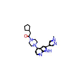 Cn1cc(-c2cc3c(N4CCN(C(=O)CC5CCCC5)CC4)ccnc3[nH]2)cn1